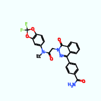 CCN(C(=O)Cn1nc(-c2ccc(C(N)=O)cc2)c2ccccc2c1=O)c1ccc2c(c1)OC(F)(F)O2